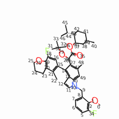 COc1c(F)cccc1Cn1ccc2c(-c3cc(F)c4c(c3C)CCCO4)c([C@@H](OC(C)(C)C)C(=O)O[C@@H]3C[C@H](C)CC[C@H]3C(C)C)c(C)cc21